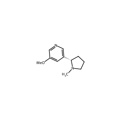 COc1cncc([C@@H]2CCCN2C)c1